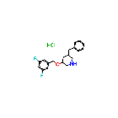 Cl.Fc1cc(F)cc(COC2CNCC(Cc3ccccc3)C2)c1